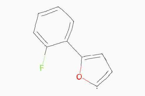 Fc1ccccc1-c1cc[c]o1